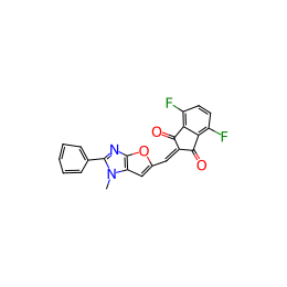 Cn1c(-c2ccccc2)nc2oc(C=C3C(=O)c4c(F)ccc(F)c4C3=O)cc21